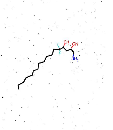 CCCCCCCCCCCCC(F)(F)[C@@H](O)C[C@@H](O)[C@H](C)N